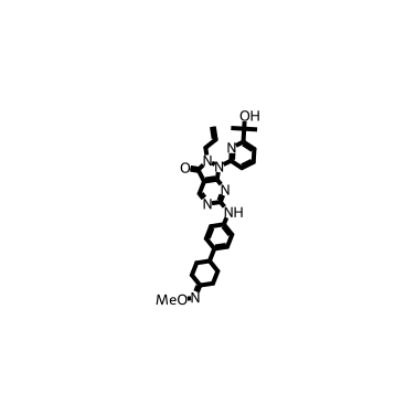 C=CCn1c(=O)c2cnc(Nc3ccc(C4CCC(=NOC)CC4)cc3)nc2n1-c1cccc(C(C)(C)O)n1